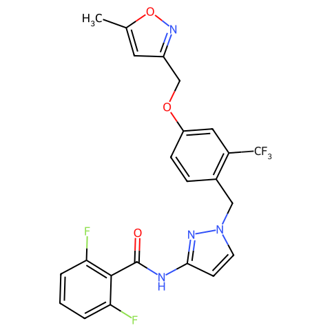 Cc1cc(COc2ccc(Cn3ccc(NC(=O)c4c(F)cccc4F)n3)c(C(F)(F)F)c2)no1